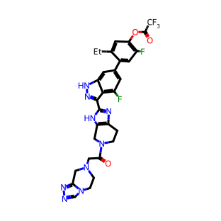 CCc1cc(OC(=O)C(F)(F)F)c(F)cc1-c1cc(F)c2c(-c3nc4c([nH]3)CN(C(=O)CN3CCn5cnnc5C3)CC4)n[nH]c2c1